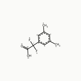 Cc1cc(C)cc(C(F)(F)C(=O)O)c1